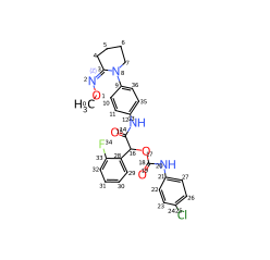 CO/N=C1/CCCCN1c1ccc(NC(=O)C(OC(=O)Nc2ccc(Cl)cc2)c2ccccc2F)cc1